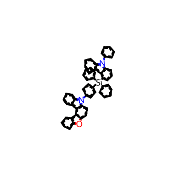 c1ccc(-n2c3ccccc3c3c([Si](c4ccccc4)(c4ccccc4)c4ccc(-n5c6ccccc6c6c7c(ccc65)oc5ccccc57)cc4)cccc32)cc1